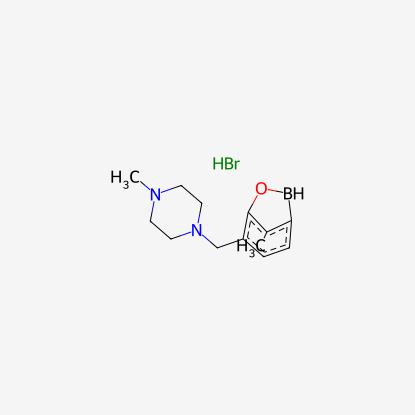 Br.Cc1c2ccc(CN3CCN(C)CC3)c1OB2